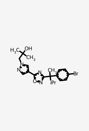 CC(C)C(C)(c1ccc(Br)cc1)c1noc(-c2cnn(CC(C)(C)O)c2)n1